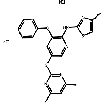 Cc1cc(C)nc(Sc2cnc(Nc3nc(C)cs3)c(Oc3ccccc3)c2)n1.Cl.Cl